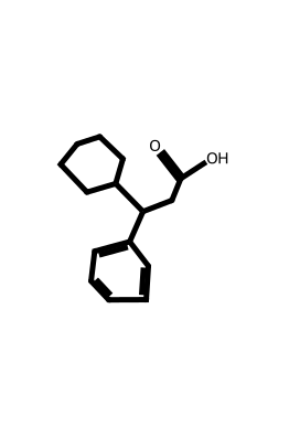 O=C(O)CC(c1ccccc1)C1CCCCC1